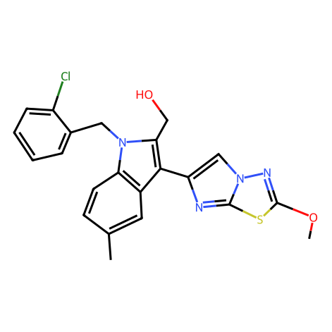 COc1nn2cc(-c3c(CO)n(Cc4ccccc4Cl)c4ccc(C)cc34)nc2s1